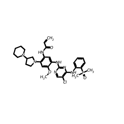 C=CC(=O)Nc1cc(Nc2ncc(Cl)c(Nc3ccccc3P(C)(C)=O)n2)c(OC)cc1N1CCC(N2CCCCC2)C1